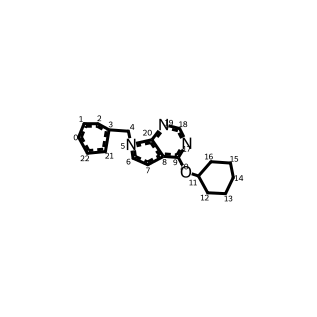 c1ccc(Cn2ccc3c(OC4CCCCC4)ncnc32)cc1